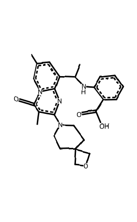 Cc1cc(C(C)Nc2ccccc2C(=O)O)c2nc(N3CCC4(CC3)COC4)c(C)c(=O)n2c1